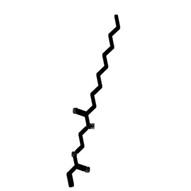 C=CC(=O)OCCNC(=O)CCCCCCCCCC